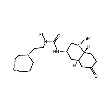 CCCN1C[C@@H](NC(=O)N(CC)CCN2CCCOCC2)C[C@@H]2CC(=O)CC[C@H]21